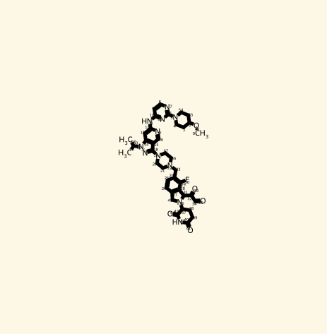 COC1CCN(c2nccc(Nc3cc4c(cn3)c(N3CCN(Cc5ccc6c(c5F)C(C(=O)C=O)N(C5CCC(=O)NC5=O)C6)CC3)nn4C(C)C)n2)CC1